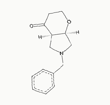 O=C1CCO[C@H]2CN(Cc3ccccc3)C[C@@H]12